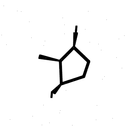 C[C@@H]1[C@H](I)CC[C@@H]1I